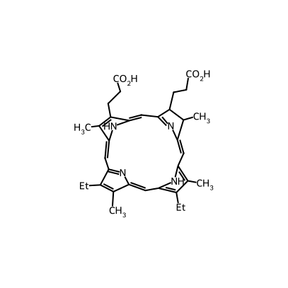 CCC1=C(C)c2cc3[nH]c(cc4nc(cc5[nH]c(cc1n2)c(C)c5CCC(=O)O)C(CCC(=O)O)C4C)c(C)c3CC